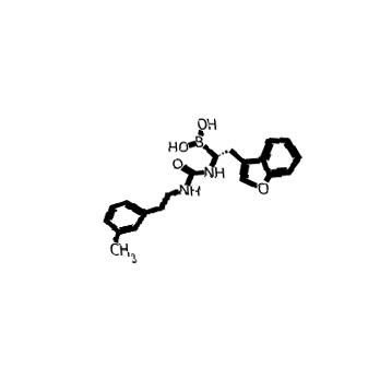 Cc1cccc(CCNC(=O)N[C@@H](Cc2coc3ccccc23)B(O)O)c1